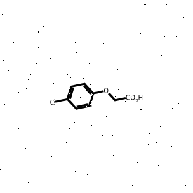 O=C(O)COc1[c]cc(Cl)cc1